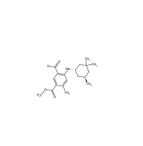 COC(=O)c1cc([N+](=O)[O-])c(N[C@H]2C[C@H](C)CC(C)(C)C2)cc1C